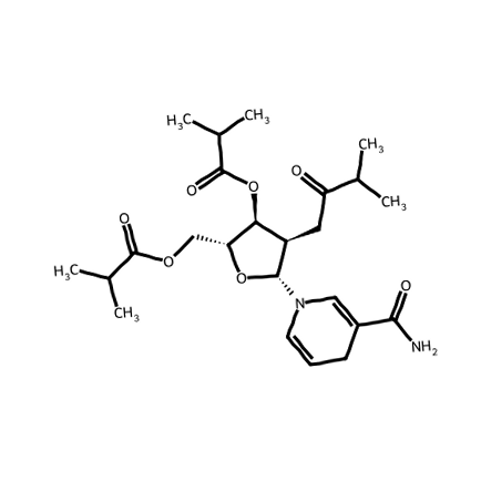 CC(C)C(=O)C[C@@H]1[C@H](OC(=O)C(C)C)[C@@H](COC(=O)C(C)C)O[C@H]1N1C=CCC(C(N)=O)=C1